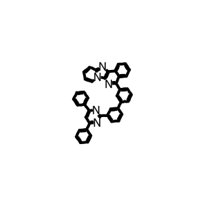 c1ccc(-c2cc(-c3ccccc3)nc(-c3cccc(-c4cccc(-c5nc6c(nc7ccccn76)c6ccccc56)c4)c3)n2)cc1